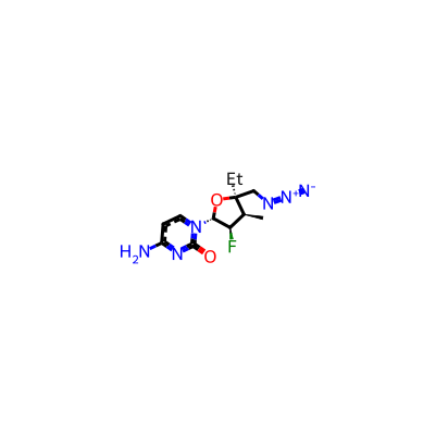 CC[C@@]1(CN=[N+]=[N-])O[C@@H](n2ccc(N)nc2=O)[C@H](F)[C@@H]1C